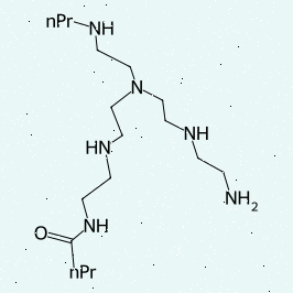 CCCNCCN(CCNCCN)CCNCCNC(=O)CCC